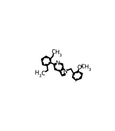 CCc1cccc(CC)c1-c1cc2ccn(Cc3c[c]ccc3OC)c2cn1